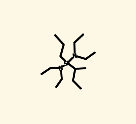 CCC[Si](C(C)CC)(N(CC)CC)N(CC)CC